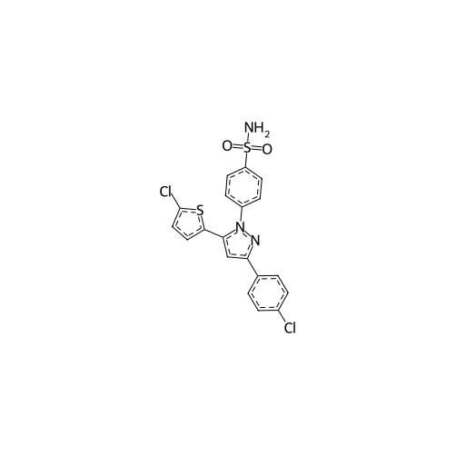 NS(=O)(=O)c1ccc(-n2nc(-c3ccc(Cl)cc3)cc2-c2ccc(Cl)s2)cc1